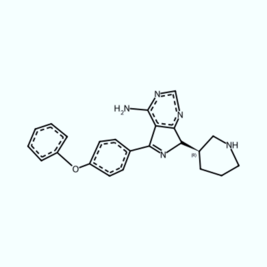 Nc1ncnc2c1C(c1ccc(Oc3ccccc3)cc1)=NC2[C@@H]1CCCNC1